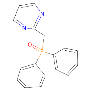 O=P(Cc1ncccn1)(c1ccccc1)c1ccccc1